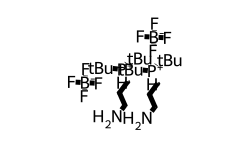 CC(C)(C)[PH+](CCCN)C(C)(C)C.CC(C)(C)[PH+](CCCN)C(C)(C)C.F[B-](F)(F)F.F[B-](F)(F)F